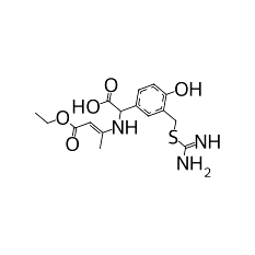 CCOC(=O)C=C(C)NC(C(=O)O)c1ccc(O)c(CSC(=N)N)c1